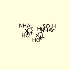 CC(=O)NC1CC(C)(C)N(O)C(C)(C)C1.CC(=O)NC1CC(C)(C)N(O)C(C)(C)C1.O=S(=O)(O)O